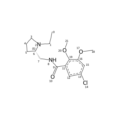 CCN1CCC[C@H]1CNC(=O)c1cc(Cl)cc(OC)c1OC